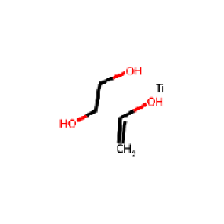 C=CO.OCCO.[Ti]